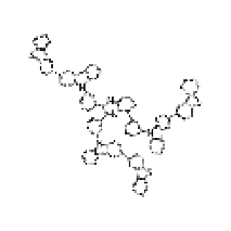 c1cc(-c2nc3cccc(-c4cccc(-n5c6ccccc6c6cc(-c7ccc8sc9ccccc9c8c7)ccc65)c4)c3nc2-c2cccc(-n3c4ccccc4c4cc(-c5ccc6sc7ccccc7c6c5)ccc43)c2)cc(-n2c3ccccc3c3cc(-c4ccc5sc6ccccc6c5c4)ccc32)c1